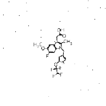 COc1cc2c(CC(=O)O)c(C)n(Cc3csc(OC(F)(F)C(F)F)c3)c2cc1F